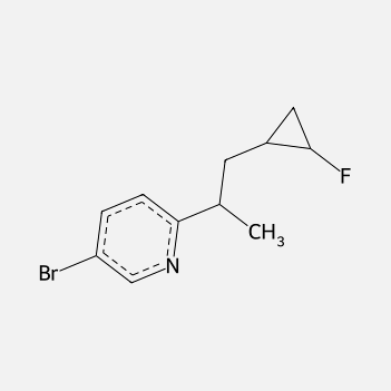 CC(CC1CC1F)c1ccc(Br)cn1